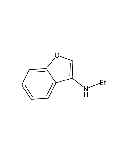 CCNc1coc2ccccc12